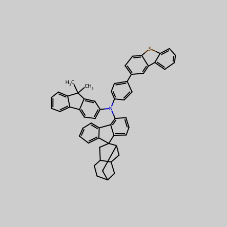 CC1(C)c2ccccc2-c2ccc(N(c3ccc(-c4ccc5sc6ccccc6c5c4)cc3)c3cccc4c3-c3ccccc3C43CC4CCC5CC4CC3C5)cc21